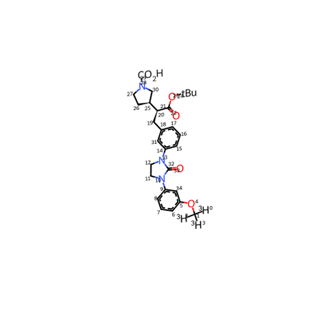 [3H]C([3H])([3H])Oc1cccc(N2CCN(c3cccc(C[C@H](C(=O)OC(C)(C)C)[C@H]4CCN(C(=O)O)C4)c3)C2=O)c1